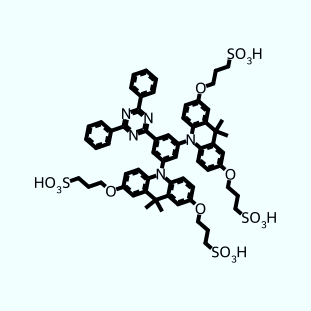 CC1(C)c2cc(OCCCS(=O)(=O)O)ccc2N(c2cc(-c3nc(-c4ccccc4)nc(-c4ccccc4)n3)cc(N3c4ccc(OCCCS(=O)(=O)O)cc4C(C)(C)c4cc(OCCCS(=O)(=O)O)ccc43)c2)c2ccc(OCCCS(=O)(=O)O)cc21